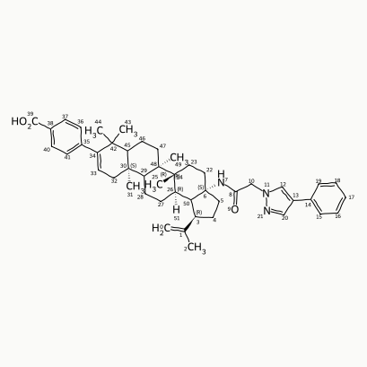 C=C(C)[C@@H]1CC[C@]2(NC(=O)Cn3cc(-c4ccccc4)cn3)CC[C@]3(C)[C@H](CCC4[C@@]5(C)CC=C(c6ccc(C(=O)O)cc6)C(C)(C)C5CC[C@]43C)C12